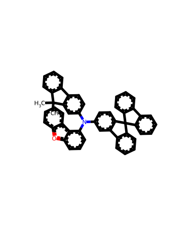 CC1(C)c2ccccc2-c2ccc(N(c3ccc4c(c3)-c3ccccc3C43c4ccccc4-c4ccccc43)c3cccc4oc5ccccc5c34)cc21